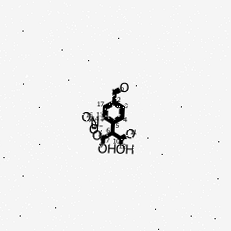 O=Cc1ccc(C(C(=O)O)C(=O)O)c([N+](=O)[O-])c1